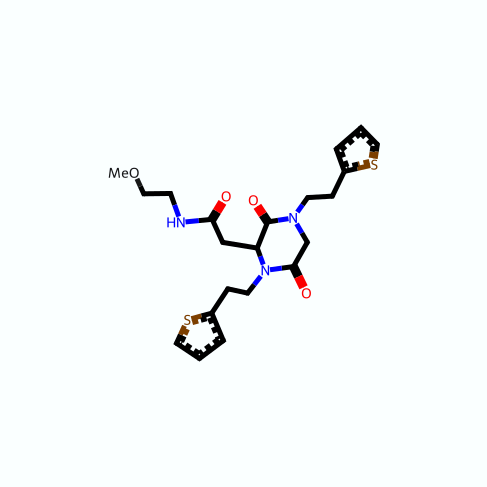 COCCNC(=O)CC1C(=O)N(CCc2cccs2)CC(=O)N1CCc1cccs1